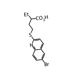 CCC(CCSc1ccc2cc(Br)ccc2n1)C(=O)O